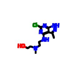 Cc1n[nH]c2nc(Cl)nc(NCCN(C)CCO)c12